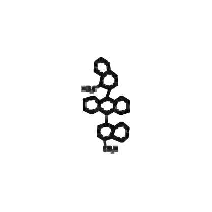 O=C(O)c1c(-c2c3ccccc3c(-c3ccc(C(=O)O)c4ccccc34)c3ccccc23)ccc2ccccc12